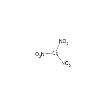 O=[N+]([O-])[Co]([N+](=O)[O-])[N+](=O)[O-]